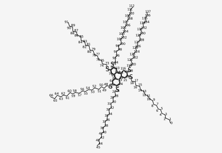 CCCCCCCCCCCCCCCCCCCSc1cc2c3cc(SCCCCCCCCCCCCCCCCCCC)c(SCCCCCCCCCCCCCCCCCCC)cc3c3cc(SCCCCCCCCCCCCCCCCCCC)c(SCCCCCCCCCCCCCCCCCCC)cc3c2cc1SCCCCCCCCCCCCCCCCCCC